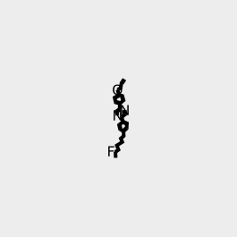 C=CCOc1ccc(-c2cnc(-c3ccc(CCCCCC(C)F)cc3)cn2)cc1